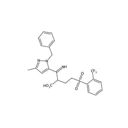 Cc1cc(C(=N)C(CCS(=O)(=O)c2ccccc2C(F)(F)F)C(=O)O)n(Cc2ccccc2)n1